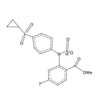 COC(=O)c1ccc(F)cc1N(c1ccc(S(=O)(=O)C2CC2)cc1)[SH](=O)=O